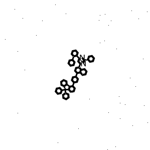 c1ccc(-c2nc(-c3ccccc3-c3ccccc3)cc(-c3ccc(-c4ccc(-c5cccc6c5-c5ccccc5C6(c5ccccc5)c5ccccc5)cc4)c4ccccc34)n2)cc1